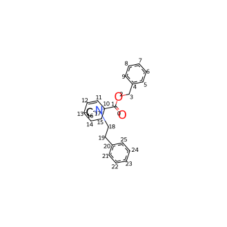 O=C(OCc1ccccc1)C12C=CC(CC1)CN2CCc1ccccc1